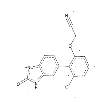 N#CCOc1cccc(Cl)c1-c1ccc2[nH]c(=O)[nH]c2c1